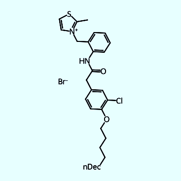 CCCCCCCCCCCCCCOc1ccc(CC(=O)Nc2ccccc2C[n+]2ccsc2C)cc1Cl.[Br-]